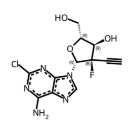 C#C[C@@]1(F)[C@H](O)[C@@H](CO)O[C@H]1n1cnc2c(N)nc(Cl)nc21